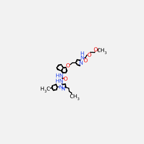 CCCCc1cc(NC(=O)Nc2ccc(OCCc3ccnc(NC(=O)COCCOC)c3)c3ccccc23)n(-c2ccc(C)cc2)n1